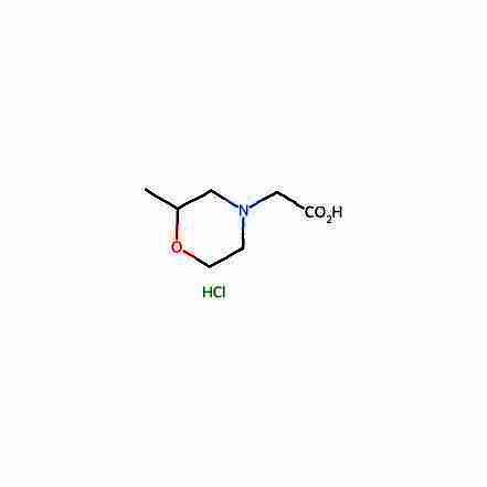 CC1CN(CC(=O)O)CCO1.Cl